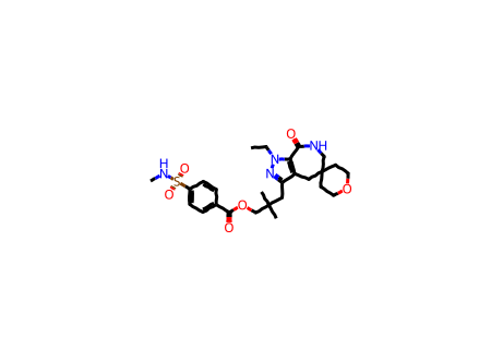 CCn1nc(CC(C)(C)COC(=O)c2ccc(S(=O)(=O)NC)cc2)c2c1C(=O)NCC1(CCOCC1)C2